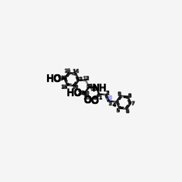 O=C(/C=C/c1ccccc1)N[C@@H](Cc1ccc(O)cc1)C(=O)O